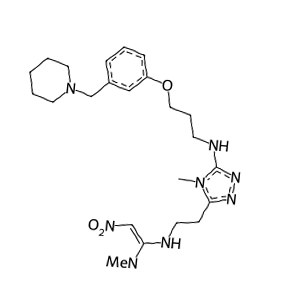 CNC(=C[N+](=O)[O-])NCCc1nnc(NCCCOc2cccc(CN3CCCCC3)c2)n1C